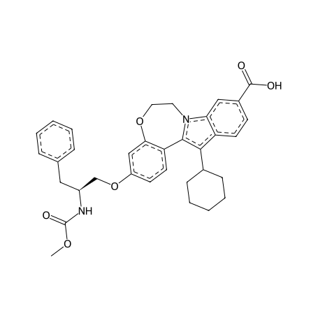 COC(=O)N[C@H](COc1ccc2c(c1)OCCn1c-2c(C2CCCCC2)c2ccc(C(=O)O)cc21)Cc1ccccc1